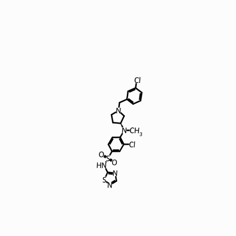 CN(c1ccc(S(=O)(=O)Nc2ncns2)cc1Cl)[C@H]1CCN(Cc2cccc(Cl)c2)C1